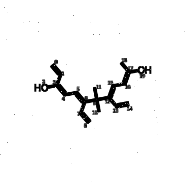 C=C/C(O)=C\C=C(/C=C)C(C)(C)/C(C=C)=C/C=C(\C)O